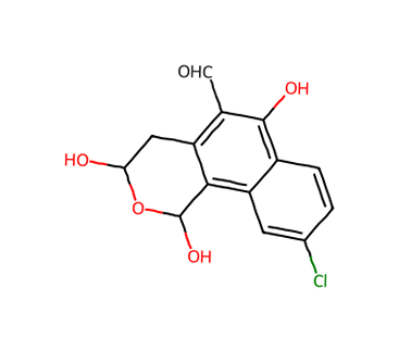 O=Cc1c2c(c3cc(Cl)ccc3c1O)C(O)OC(O)C2